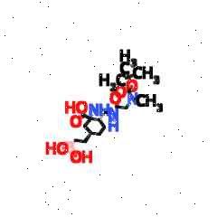 CN(CC(=O)NC[C@@H]1CC[C@@H](CCB(O)O)C[C@]1(N)C(=O)O)C(=O)OC(C)(C)C